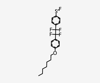 CCCCCCCOc1ccc(C(F)(F)C(F)(F)c2ccc(SF)cc2)cc1